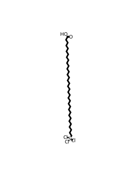 O=C(O)CCCCCCCCCCCCCCCCCCCCCCCCCCCCCCCCCC[Si](Cl)(Cl)Cl